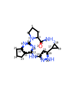 NC(=O)C1CCCN1c1nc2c(c(Nc3cc(C4CC4)[nH]n3)n1)CCC2